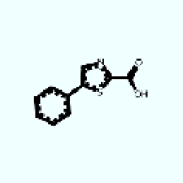 O=C(O)c1ncc(-c2ccccc2)s1